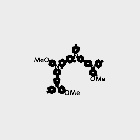 COc1ccc(N(c2ccc(C)cc2)c2ccc(-c3ccc(N(c4ccc(C)cc4)c4ccc(-c5ccc(N(c6ccc(OC)cc6)c6ccc(-c7ccc(N(c8ccc(C)cc8)c8ccc(OC)cc8)cc7)cc6)c(C)c5)cc4C)cc3)cc2)cc1